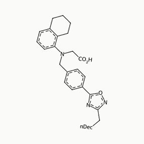 CCCCCCCCCCCc1noc(-c2ccc(CN(CC(=O)O)c3cccc4c3CCCC4)cc2)n1